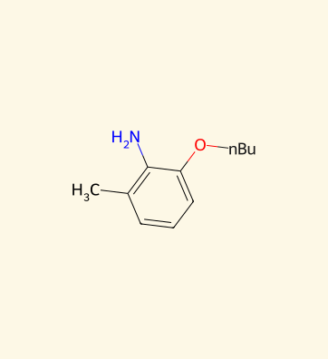 CCCCOc1cccc(C)c1N